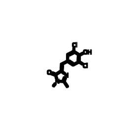 CC1=N/C(=C\c2cc(Cl)c(O)c(Cl)c2)C(=O)N1C